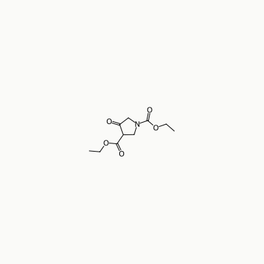 CCOC(=O)C1CN(C(=O)OCC)CC1=O